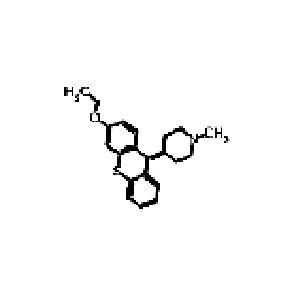 CCOc1ccc2c(c1)Sc1ccccc1C2=C1CCN(C)CC1